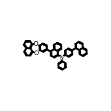 c1ccc(N(c2ccc(-c3cccc4ccccc34)cc2)c2ccc(-c3ccc4c(c3)Oc3cccc5cccc(c35)O4)c3ccccc23)cc1